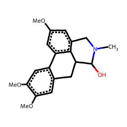 COc1cc2c3c(c1)-c1cc(OC)c(OC)cc1CC3C(O)N(C)C2